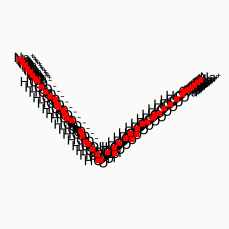 O=C(O)O.O=C(O)O.O=C(O)O.O=C(O)O.O=C([O-])O.O=C([O-])O.O=C([O-])O.O=C([O-])O.O=C([O-])O.O=C([O-])O.O=C([O-])O.O=C([O-])O.O=C([O-])O.O=C([O-])O.O=C([O-])O.O=C([O-])O.O=C([O-])O.O=C([O-])O.O=C([O-])O.O=C([O-])O.O=C([O-])O.O=C([O-])O.O=C([O-])O.O=C([O-])O.O=C([O-])O.O=C([O-])O.O=C([O-])O.O=C([O-])O.O=C([O-])O.O=C([O-])O.[Na+].[Na+].[Na+].[Na+].[Na+].[Na+].[Na+].[Na+].[Na+].[Na+].[Na+].[Na+].[Na+].[Na+].[Na+].[Na+].[Na+].[Na+].[Na+].[Na+].[Na+].[Na+].[Na+].[Na+].[Na+].[Na+]